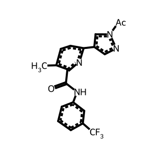 CC(=O)n1cc(-c2ccc(C)c(C(=O)Nc3cccc(C(F)(F)F)c3)n2)cn1